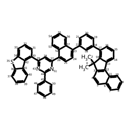 CC1(C)c2ccc3ccccc3c2-c2cccc(-c3cccc(-c4ccc(-c5cc(-c6cccc7sc8ccccc8c67)nc(-c6ccccc6)n5)c5ccccc45)c3)c21